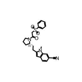 Cn1c(CC[C@@H]2CCCN2C(=O)CS(=O)(=O)c2ccccc2)cc2ccc(C#N)cc21